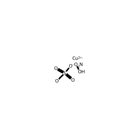 O=S(=O)([O-])[O-].O=[N+]([O-])O.[Cu+2]